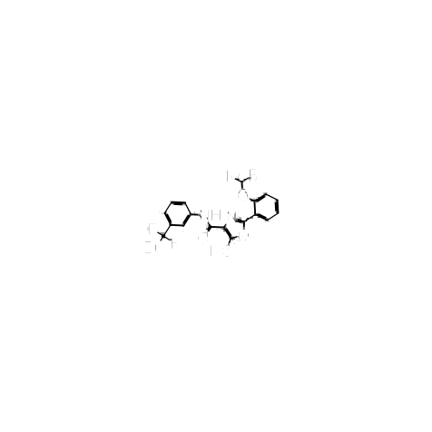 CCC(F)(F)c1cccc(NC(=O)c2nc(-c3ccccc3OC(F)F)oc2C)c1